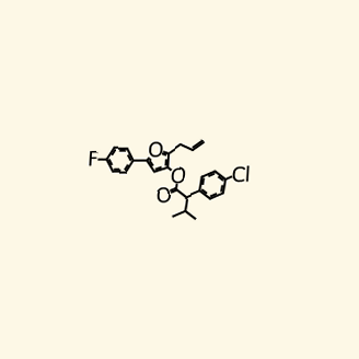 C=CCc1oc(-c2ccc(F)cc2)cc1OC(=O)C(c1ccc(Cl)cc1)C(C)C